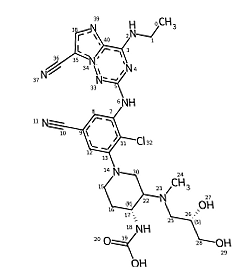 CCNc1nc(Nc2cc(C#N)cc(N3CC[C@@H](NC(=O)O)C(N(C)C[C@H](O)CO)C3)c2Cl)nn2c(C#N)cnc12